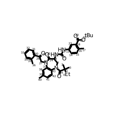 CCC(C)(C)C(=O)N1CC(NC(=O)Nc2ccc(C)c(C(=O)OC(C)(C)C)c2)C(=O)N(CC(=O)c2ccccc2C)c2cc(C)ccc21